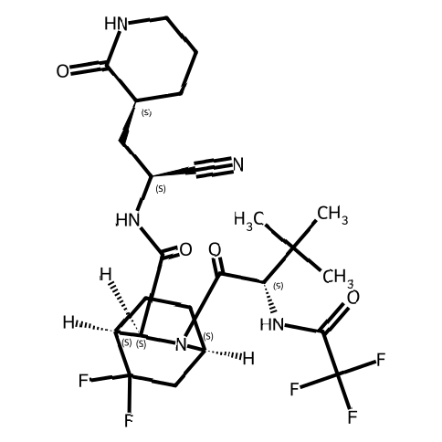 CC(C)(C)[C@H](NC(=O)C(F)(F)F)C(=O)N1[C@H]2CC[C@@H]([C@H]1C(=O)N[C@H](C#N)C[C@@H]1CCCNC1=O)C(F)(F)C2